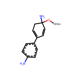 CCCCCCOC1(N)C=CC(c2ccc(N)cc2)=CC1